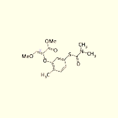 CO/C=C(\Oc1cc(SC(=O)N(C)C)ccc1C)C(=O)OC